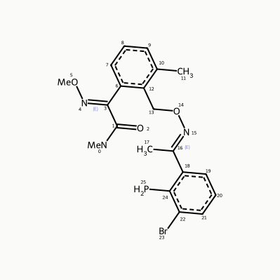 CNC(=O)/C(=N/OC)c1cccc(C)c1CO/N=C(\C)c1cccc(Br)c1P